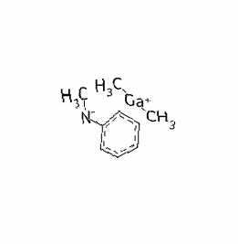 C[N-]c1ccccc1.[CH3][Ga+][CH3]